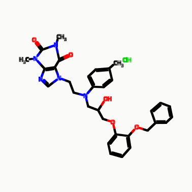 Cc1ccc(N(CCn2cnc3c2c(=O)n(C)c(=O)n3C)CC(O)COc2ccccc2OCc2ccccc2)cc1.Cl